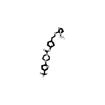 Cn1ccnc1SCCc1ccc(OC(=O)N2CCN(c3ccc(C(F)(F)F)cn3)CC2)cc1